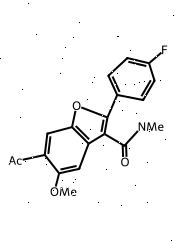 CNC(=O)c1c(-c2ccc(F)cc2)oc2cc(C(C)=O)c(OC)cc12